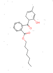 CCCCCCCOC(=O)c1ccccc1C(=O)C1CC=C(C)C=C1O